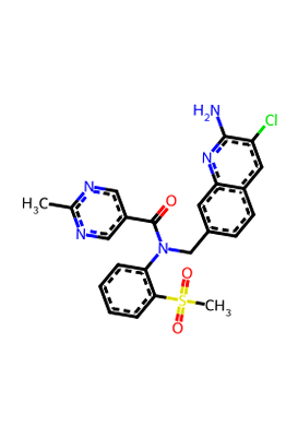 Cc1ncc(C(=O)N(Cc2ccc3cc(Cl)c(N)nc3c2)c2ccccc2S(C)(=O)=O)cn1